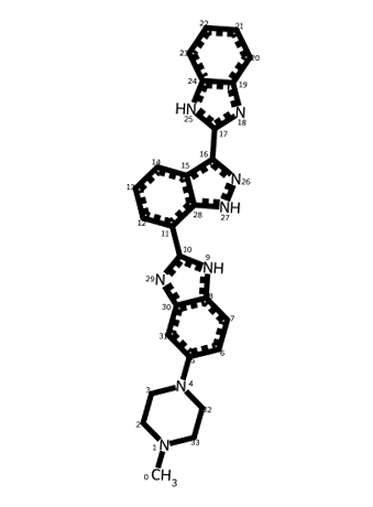 CN1CCN(c2ccc3[nH]c(-c4cccc5c(-c6nc7ccccc7[nH]6)n[nH]c45)nc3c2)CC1